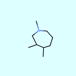 CC1CCCN(C)CC1C